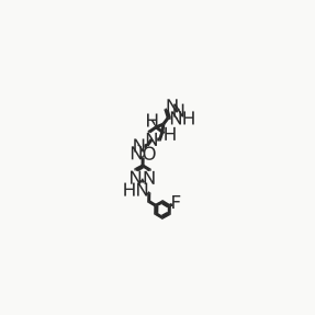 Fc1cccc(CCNc2ncc(-c3nnc(N4C[C@@H]5C(c6cnn[nH]6)[C@@H]5C4)o3)cn2)c1